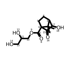 CC1(C)C2CCC1(C(=O)OCC(O)CO)C(=O)C2O